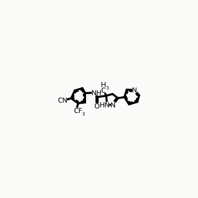 [C-]#[N+]c1ccc(NC(=O)C2(C)CC(c3cccnc3)=NN2)cc1C(F)(F)F